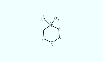 [CH2]C[N+]1([O-])CCOCC1